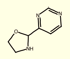 [c]1nccc(C2NCCO2)n1